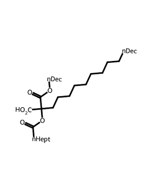 CCCCCCCCCCCCCCCCCCCC(OC(=O)CCCCCCC)(C(=O)O)C(=O)OCCCCCCCCCC